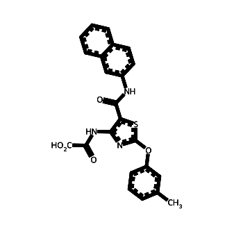 Cc1cccc(Oc2nc(NC(=O)C(=O)O)c(C(=O)Nc3ccc4ccccc4c3)s2)c1